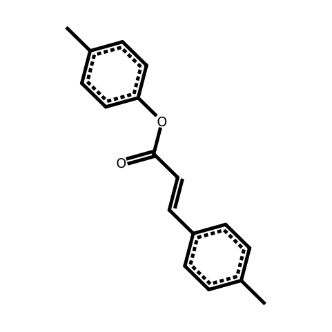 Cc1ccc(C=CC(=O)Oc2ccc(C)cc2)cc1